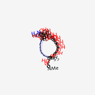 CNc1ccc(C(=O)CC(O)CC[C@H](C)[C@H]2OC(=O)C[C@H](O)CC(=O)C[C@H](O)C[C@H](O)C[C@H](O)C[C@H](O)C[C@]3(O)C[C@H](O)[C@@H](C(=O)O)[C@H](C[C@@H](O[C@@H]4O[C@H](C)[C@@H](O)[C@H](N)[C@@H]4O)/C=C/C=C/C=C/C=C\C=C/C=C/C=C/[C@@H]2C)O3)cc1